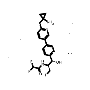 NC1(Cc2ccc(-c3ccc([C@H](O)[C@@H](CF)NC(=O)C(F)F)cc3)cn2)CC1